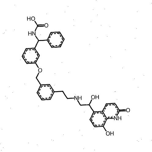 O=C(O)NC(c1ccccc1)c1cccc(OCc2cccc(CCNCC(O)c3ccc(O)c4[nH]c(=O)ccc34)c2)c1